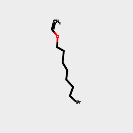 C=COCCCCCCCC(C)C